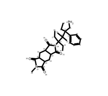 CCC(CP)(c1ccccc1)C(C)(C)C(CC)(CC)N1C(=O)C2CC3C(=O)N(C)C(=O)C3CC2C1=O